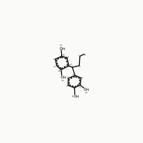 CCCC(c1ccc(O)c(O)c1)c1cc(O)ccc1O